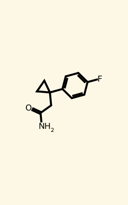 NC(=O)CC1(c2ccc(F)cc2)CC1